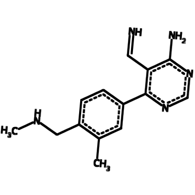 CNCc1ccc(-c2ncnc(N)c2C=N)cc1C